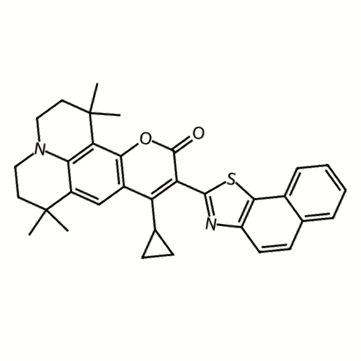 CC1(C)CCN2CCC(C)(C)c3c2c1cc1c(C2CC2)c(-c2nc4ccc5ccccc5c4s2)c(=O)oc31